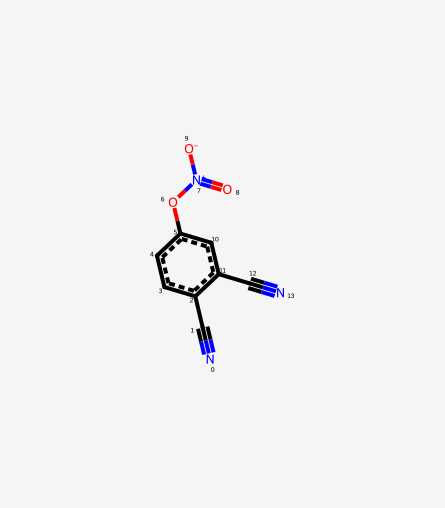 N#Cc1ccc(O[N+](=O)[O-])cc1C#N